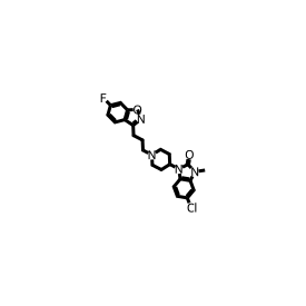 Cn1c(=O)n(C2CCN(CCCc3noc4cc(F)ccc34)CC2)c2ccc(Cl)cc21